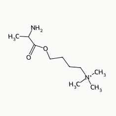 CC(N)C(=O)OCCCC[N+](C)(C)C